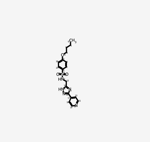 CCCCOc1ccc(S(=O)(=O)NCc2nc(-c3ccncc3)n[nH]2)cc1